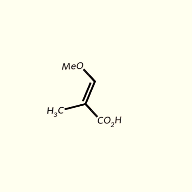 COC=C(C)C(=O)O